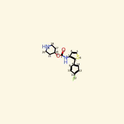 O=C(Nc1ccsc1-c1ccc(F)cc1)OC1CCNCC1